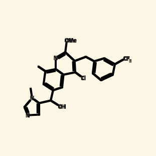 COc1nc2c(C)cc(C(O)c3cncn3C)cc2c(Cl)c1Cc1cccc(C(F)(F)F)c1